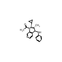 CC(=O)N1c2cnccc2C(Nc2ccccc2)[C@@H](C)[C@@H]1C1CC1